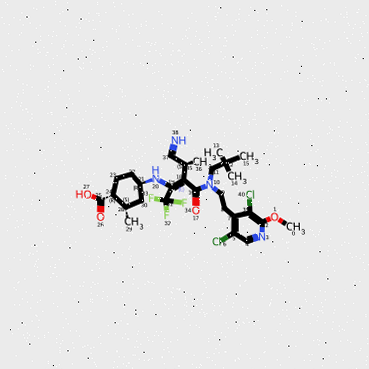 COc1ncc(Cl)c(CCN(CC(C)(C)C)C(=O)/C(=C(/N[C@@H]2CC[C@@H](C(=O)O)[C@@H](C)C2)C(F)(F)F)[C@H](C)C=N)c1Cl